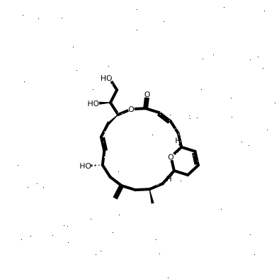 C=C1C[C@H](C)C[C@@H]2CC=C[C@@H](C/C=C\C(=O)O[C@H]([C@@H](O)CO)C/C=C/[C@@H](O)C1)O2